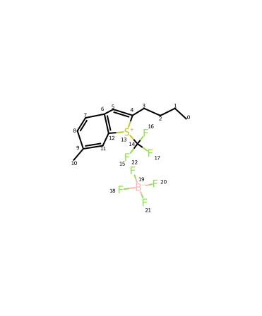 CCCCc1cc2ccc(C)cc2[s+]1C(F)(F)F.F[B-](F)(F)F